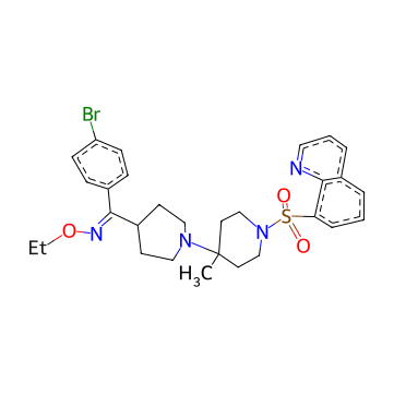 CCON=C(c1ccc(Br)cc1)C1CCN(C2(C)CCN(S(=O)(=O)c3cccc4cccnc34)CC2)CC1